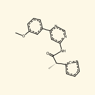 COc1cccc(-c2cc(NC(=O)[C@@H](C)c3ccccc3)ncn2)c1